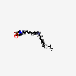 CCCCCCCC/C=C\CCCCCCCCN1CCS(=O)(=O)CC1